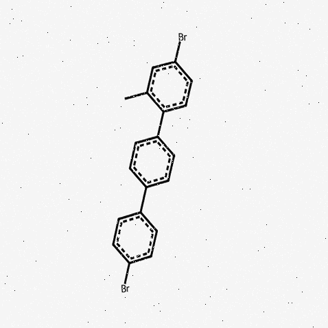 Cc1cc(Br)ccc1-c1ccc(-c2ccc(Br)cc2)cc1